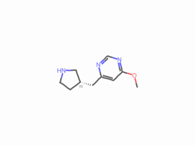 COc1cc(C[C@@H]2CCNC2)ncn1